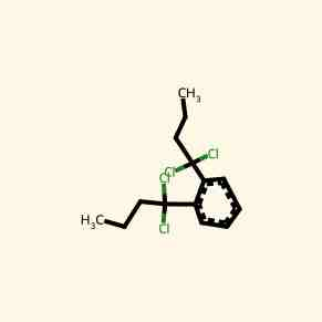 CCCC(Cl)(Cl)c1ccccc1C(Cl)(Cl)CCC